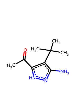 CC(=O)c1[nH]nc(N)c1C(C)(C)C